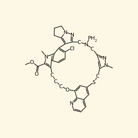 COC(=O)c1c2c3ccc(Cl)c(c3n1C)-c1c(nn3c1CCC3)CN(P)Cc1cc(n(C)n1)CSc1cc(c3ncccc3c1)OCCC2